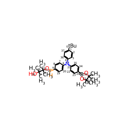 CC(C)(C)c1ccc(N(c2ccc(POC(C)(C)C(C)(C)O)cc2)c2ccc(B3OC(C)(C)C(C)(C)O3)cc2)cc1